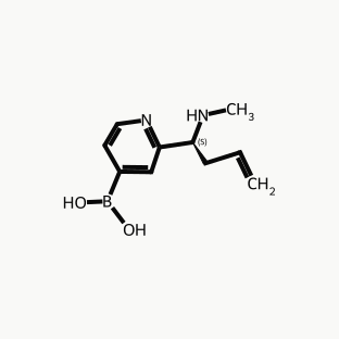 C=CC[C@H](NC)c1cc(B(O)O)ccn1